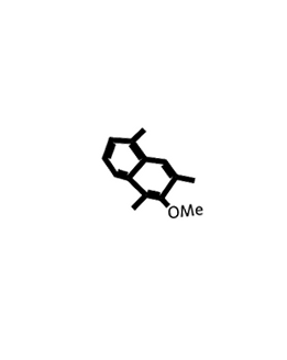 COc1c(C)cc2c(C)cccc2c1C